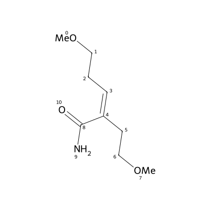 COCCC=C(CCOC)C(N)=O